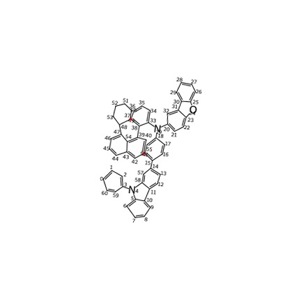 c1ccc(-n2c3ccccc3c3ccc(-c4ccc(N(c5ccc6oc7ccccc7c6c5)c5ccccc5-c5cccc6cccc(C7CCCCC7)c56)cc4)cc32)cc1